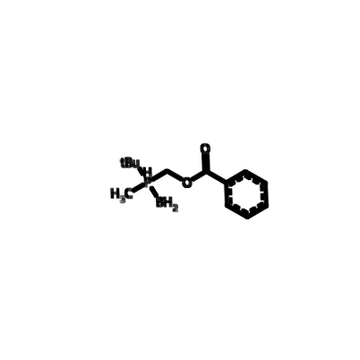 B[PH](C)(COC(=O)c1ccccc1)C(C)(C)C